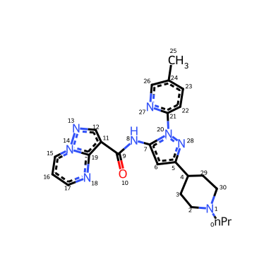 CCCN1CCC(c2cc(NC(=O)c3cnn4cccnc34)n(-c3ccc(C)cn3)n2)CC1